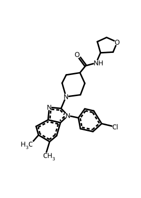 Cc1cc2nc(N3CCC(C(=O)NC4CCOC4)CC3)n(-c3ccc(Cl)cc3)c2cc1C